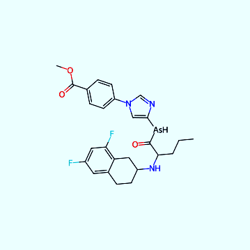 CCCC(NC1CCc2cc(F)cc(F)c2C1)C(=O)[AsH]c1cn(-c2ccc(C(=O)OC)cc2)cn1